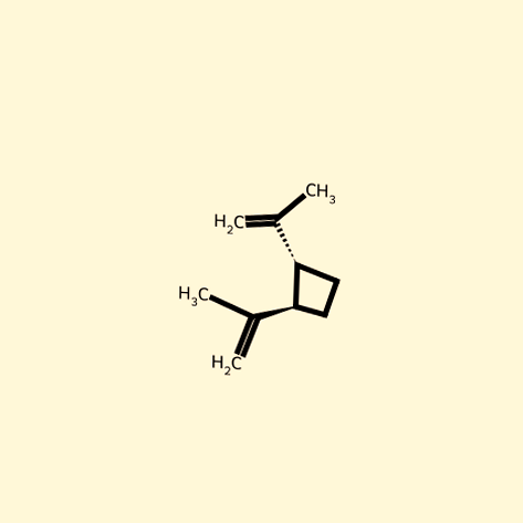 C=C(C)[C@@H]1CC[C@H]1C(=C)C